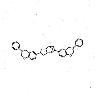 c1ccc(N2COc3ccc(C4CC5C6CC(c7ccc8c(c7)CN(c7ccccc7)CO8)C(C6)C5C4)cc3C2)cc1